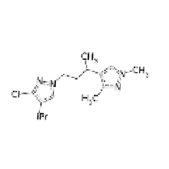 Cc1nn(C)cc1C(C)CCn1cc(C(C)C)c(Cl)n1